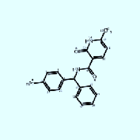 CCCc1ccc(C(NC(=O)c2ccc(C(F)(F)F)[nH]c2=O)c2ccccc2)cc1